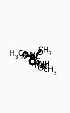 COCCn1nc(-c2ccc(C)nc2)c2c1-c1sc(NC(=O)OC)nc1CCC2